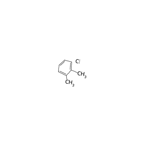 Cc1ccccc1C.[C]